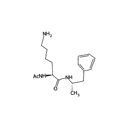 CC(=O)N[C@@H](CCCCN)C(=O)N[C@@H](C)Cc1ccccc1